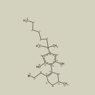 CCCCCCC(C)(C)c1cc(O)c(C2=C(CCBr)CCC(C)C2)c(O)c1